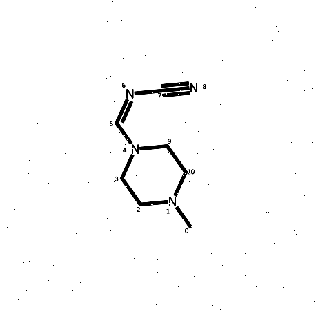 CN1CCN(/[C]=N\C#N)CC1